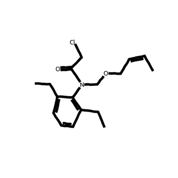 C/C=C\COCN(C(=O)CCl)c1c(CC)cccc1CC